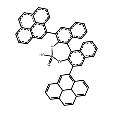 O=P1(O)Oc2c(C3=C4C=CC=C5C=CC6=CC=CC(=C3)C6C54)cc3ccccc3c2-c2c(c(-c3cc4cccc5ccc6cccc3c6c54)cc3ccccc23)O1